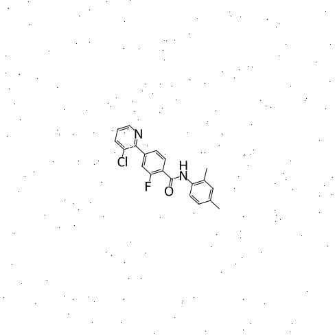 Cc1ccc(NC(=O)c2ccc(-c3ncccc3Cl)cc2F)c(C)c1